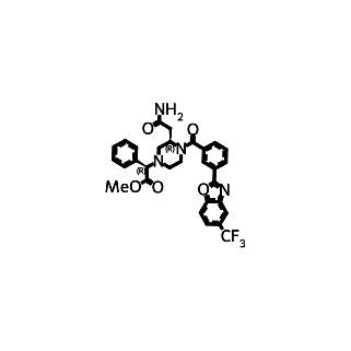 COC(=O)[C@@H](c1ccccc1)N1CCN(C(=O)c2cccc(-c3nc4cc(C(F)(F)F)ccc4o3)c2)[C@H](CC(N)=O)C1